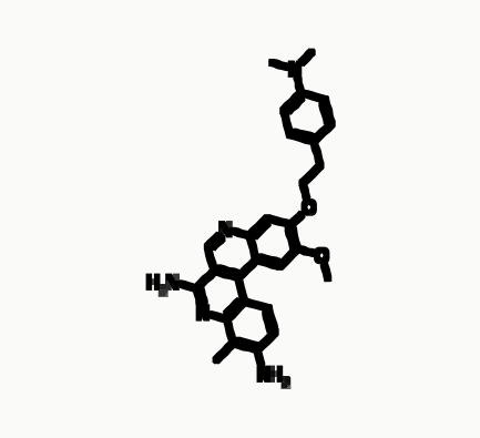 COc1cc2c(cc1OCCc1ccc(N(C)C)cc1)ncc1c(N)nc3c(C)c(N)ccc3c12